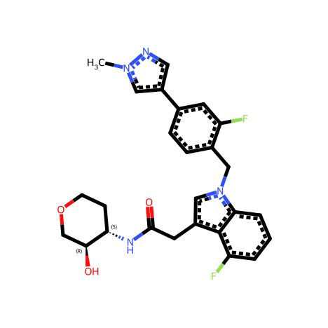 Cn1cc(-c2ccc(Cn3cc(CC(=O)N[C@H]4CCOC[C@@H]4O)c4c(F)cccc43)c(F)c2)cn1